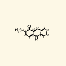 O=c1c([SiH3])ccc2[nH]c3ccccc3cc1-2